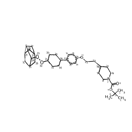 CC(C)(C)OC(=O)N1CCC(CCOc2ccc(C3CCC(OOC4C5CC6CC(C5)C4C6)CC3)cc2)CC1